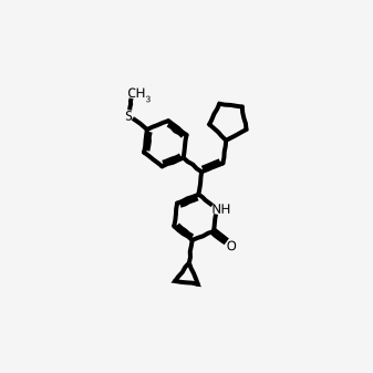 CSc1ccc(/C(=C\C2CCCC2)c2ccc(C3CC3)c(=O)[nH]2)cc1